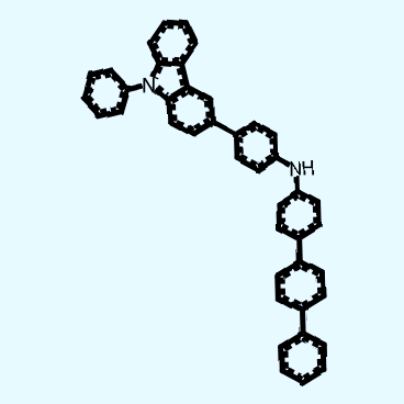 c1ccc(-c2ccc(-c3ccc(Nc4ccc(-c5ccc6c(c5)c5ccccc5n6-c5ccccc5)cc4)cc3)cc2)cc1